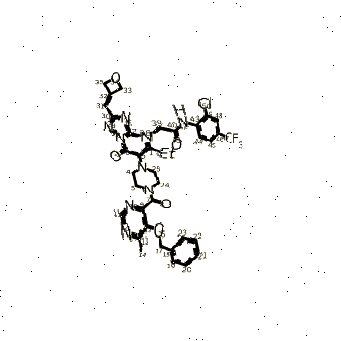 CCc1c(N2CCN(C(=O)c3ncnc(C)c3OCc3ccccc3)CC2)c(=O)n2nc(C=C3COC3)nc2n1CC(=O)Nc1ccc(C(F)(F)F)cc1Cl